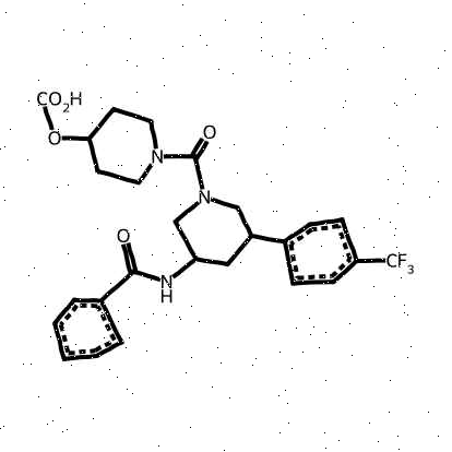 O=C(O)OC1CCN(C(=O)N2CC(NC(=O)c3ccccc3)CC(c3ccc(C(F)(F)F)cc3)C2)CC1